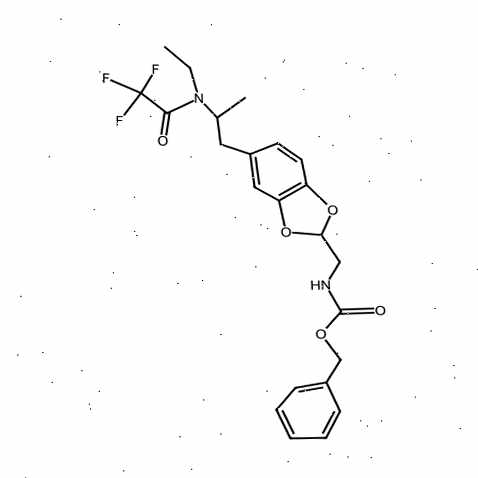 CCN(C(=O)C(F)(F)F)C(C)Cc1ccc2c(c1)OC(CNC(=O)OCc1ccccc1)O2